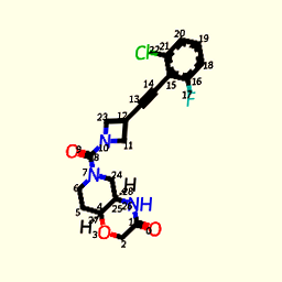 O=C1CO[C@H]2CCN(C(=O)N3CC(C#Cc4c(F)cccc4Cl)C3)C[C@H]2N1